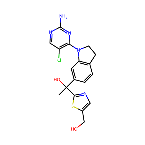 CC(O)(c1ccc2c(c1)N(c1nc(N)ncc1Cl)CC2)c1ncc(CO)s1